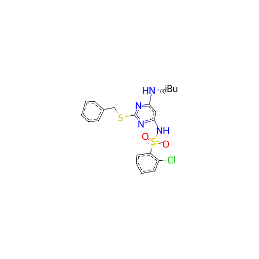 CC[C@@H](C)Nc1cc(NS(=O)(=O)c2ccccc2Cl)nc(SCc2ccccc2)n1